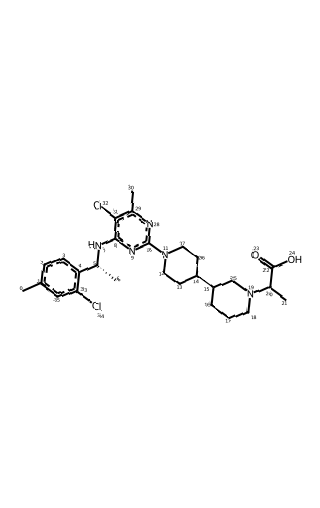 Cc1ccc([C@@H](C)Nc2nc(N3CCC(C4CCCN(C(C)C(=O)O)C4)CC3)nc(C)c2Cl)c(Cl)c1